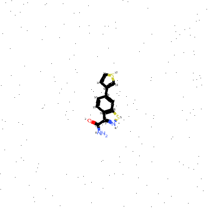 NC(=O)c1nsc2cc(-c3ccsc3)ccc12